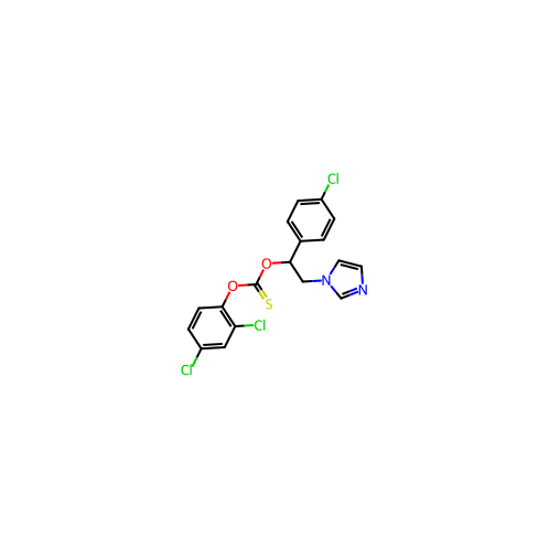 S=C(Oc1ccc(Cl)cc1Cl)OC(Cn1ccnc1)c1ccc(Cl)cc1